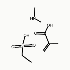 C=C(C)C(=O)O.CCS(=O)(=O)O.CNC